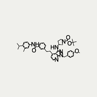 COc1ccc(Cn2nc(N[C@@H]3CCN(C(=O)OC(C)(C)C)C3)c3c(CCc4cccc(C(=O)Nc5ccc(C(C)C)c(C)c5)c4)ccnc32)cc1